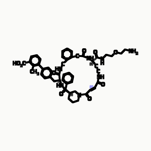 Cc1c(C(=O)O)cccc1-c1ccc(C[C@@H]2NC(=O)[C@]3(Cc4ccccc4)CCCN(C3)C(=O)/C=C/C(=O)NCC[C@@H](C(=O)NCCOCCN)NC(=O)Cc3ccccc3CNC2=O)cc1